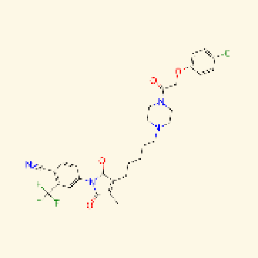 CC1=C(CCCCCN2CCN(C(=O)COc3ccc(Cl)cc3)CC2)C(=O)N(c2ccc(C#N)c(C(F)(F)F)c2)C1=O